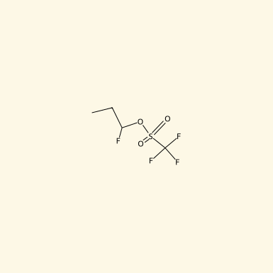 CCC(F)OS(=O)(=O)C(F)(F)F